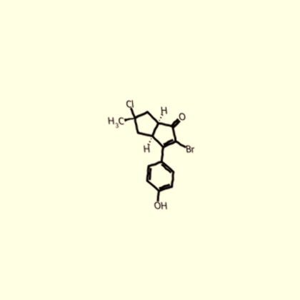 C[C@]1(Cl)C[C@@H]2C(c3ccc(O)cc3)=C(Br)C(=O)[C@@H]2C1